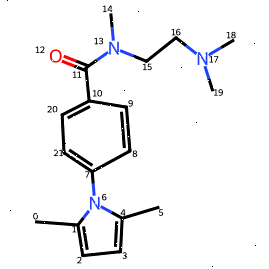 Cc1ccc(C)n1-c1ccc(C(=O)N(C)CCN(C)C)cc1